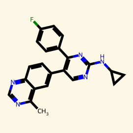 Cc1ncnc2ccc(-c3cnc(NC4CC4)nc3-c3ccc(F)cc3)cc12